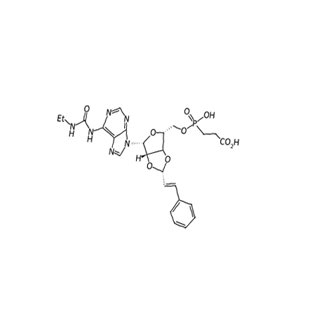 CCNC(=O)Nc1ncnc2c1ncn2[C@@H]1O[C@H](COP(=O)(O)CCC(=O)O)C2O[C@H](/C=C/c3ccccc3)O[C@@H]21